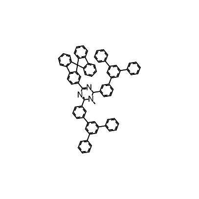 CN1C(c2cccc(-c3cc(-c4ccccc4)cc(-c4ccccc4)c3)c2)=NC(c2ccc3c(c2)C2(c4ccccc4-c4ccccc42)c2ccccc2-3)=NC1c1cccc(-c2cc(-c3ccccc3)cc(-c3ccccc3)c2)c1